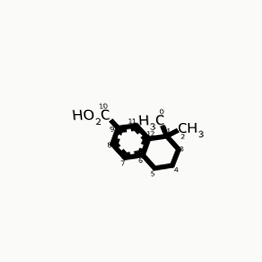 CC1(C)CCCc2ccc(C(=O)O)cc21